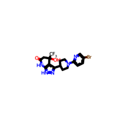 O=C1CC(O)(C(F)(F)F)c2c(C3CCN(c4ccc(Br)cn4)CC3)n[nH]c2N1